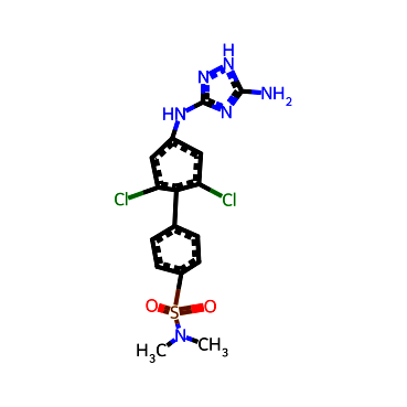 CN(C)S(=O)(=O)c1ccc(-c2c(Cl)cc(Nc3n[nH]c(N)n3)cc2Cl)cc1